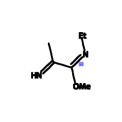 CC/N=C(/OC)C(C)=N